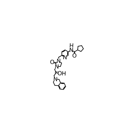 O=C(Nc1ccc(CN2CCN(C[C@H](O)CN3CCc4ccccc4C3)C2=O)nc1)C1CCCC1